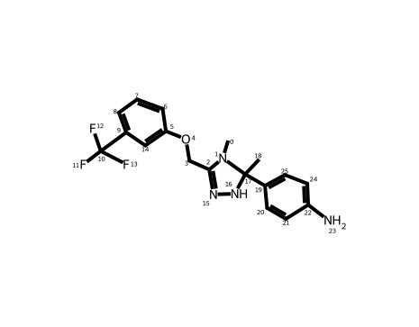 CN1C(COc2cccc(C(F)(F)F)c2)=NNC1(C)c1ccc(N)cc1